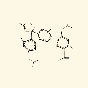 CC(=O)c1ccc(OC(F)F)cc1C.Cc1cc(OC(F)F)ccc1C1(c2cccc(Br)c2)COC(N)=N1